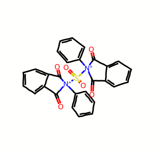 O=C1c2ccccc2C(=O)[N+]1(c1ccccc1)S(=O)(=O)[N+]1(c2ccccc2)C(=O)c2ccccc2C1=O